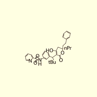 CCC[C@@]1(CCc2ccccc2)CC(O)=C(C(c2cccc(NS(=O)(=O)c3ccccn3)c2)C(C)(C)C)C(=O)O1